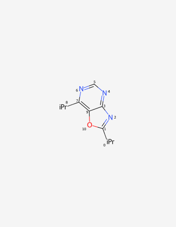 CC(C)c1nc2ncnc(C(C)C)c2o1